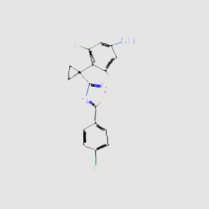 Nc1cc(F)c(C2(c3noc(-c4ccc(F)cc4)n3)CC2)c(F)c1